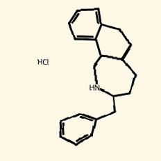 Cl.c1ccc(CC2CCC3CCc4ccccc4C3CN2)cc1